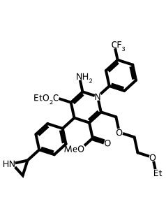 CCOCCOCC1=C(C(=O)OC)C(c2ccc(C3CN3)cc2)C(C(=O)OCC)=C(N)N1c1cccc(C(F)(F)F)c1